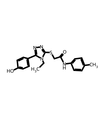 CCn1c(SCC(=O)Nc2ccc(C)cc2)nnc1-c1ccc(O)cc1